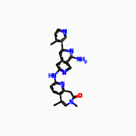 CC1=CN(C)C(=O)Cc2nc(Nc3cc4cc(-c5cnccc5C)nc(N)c4cn3)ccc21